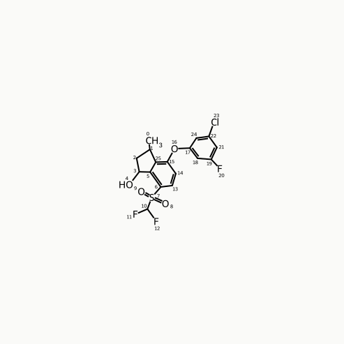 CC1CC(O)c2c(S(=O)(=O)C(F)F)ccc(Oc3cc(F)cc(Cl)c3)c21